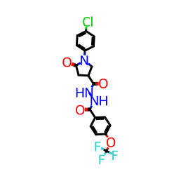 O=C(NNC(=O)C1CC(=O)N(c2ccc(Cl)cc2)C1)c1ccc(OC(F)(F)F)cc1